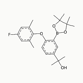 Cc1cc(F)cc(C)c1Oc1ccc(C(C)(C)O)cc1B1OC(C)(C)C(C)(C)O1